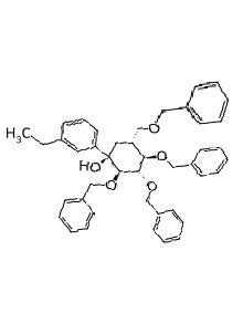 CCc1cccc([C@]2(O)C[C@H](COCc3ccccc3)[C@@H](OCc3ccccc3)[C@H](OCc3ccccc3)[C@H]2OCc2ccccc2)c1